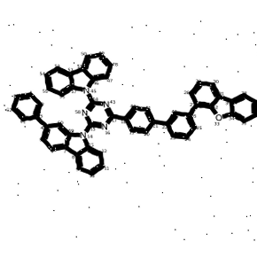 c1ccc(-c2ccc3c4ccccc4n(-c4nc(-c5ccc(-c6cccc(-c7cccc8c7oc7ccccc78)c6)cc5)nc(-n5c6ccccc6c6ccccc65)n4)c3c2)cc1